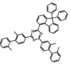 Cc1ccccc1-c1ccc(-c2nc(-c3ccc(-c4ccccc4C)c(C)c3)nc(-c3cccc4c3-c3ccccc3C4(c3ccccc3)c3ccccc3)n2)cc1C